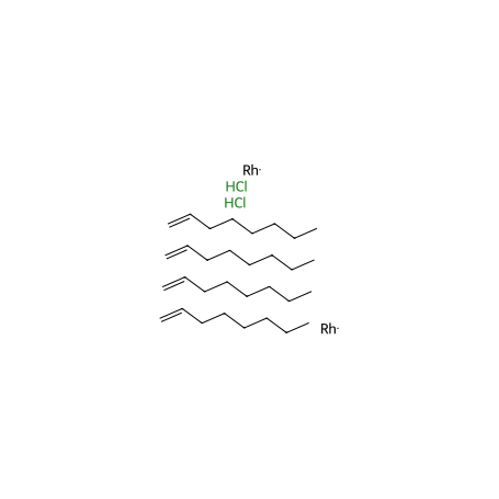 C=CCCCCCC.C=CCCCCCC.C=CCCCCCC.C=CCCCCCC.Cl.Cl.[Rh].[Rh]